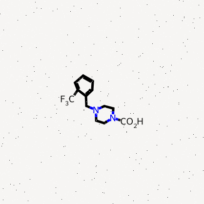 O=C(O)N1CCN(Cc2ccccc2C(F)(F)F)CC1